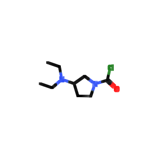 CCN(CC)C1CCN(C(=O)Cl)C1